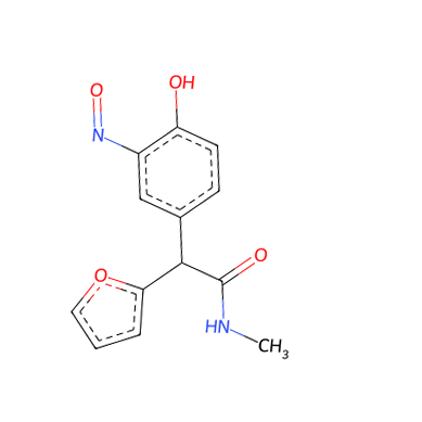 CNC(=O)C(c1ccc(O)c(N=O)c1)c1ccco1